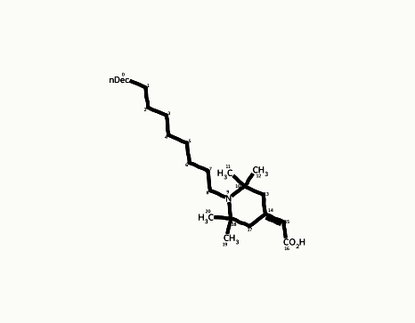 CCCCCCCCCCCCCCCCCCN1C(C)(C)CC(=CC(=O)O)CC1(C)C